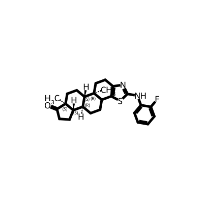 C[C@]12CCc3nc(Nc4ccccc4F)sc3C1CC[C@@H]1[C@@H]2CC[C@]2(C)C(=O)CC[C@@H]12